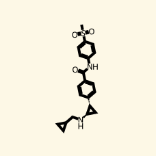 CS(=O)(=O)c1ccc(NC(=O)c2ccc([C@@H]3C[C@H]3NCC3CC3)cc2)cc1